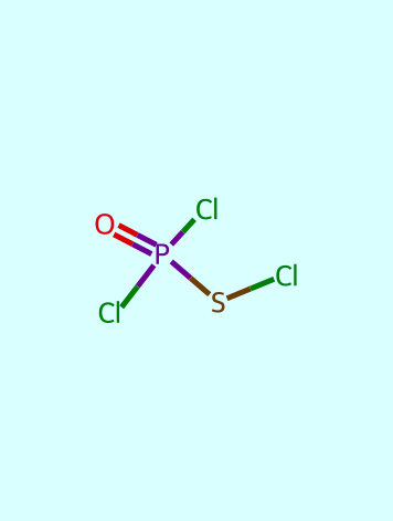 O=P(Cl)(Cl)SCl